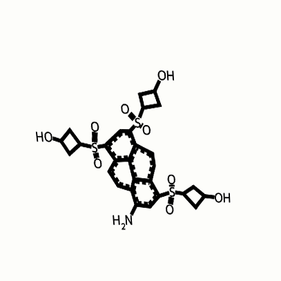 Nc1cc(S(=O)(=O)C2CC(O)C2)c2ccc3c(S(=O)(=O)C4CC(O)C4)cc(S(=O)(=O)C4CC(O)C4)c4ccc1c2c43